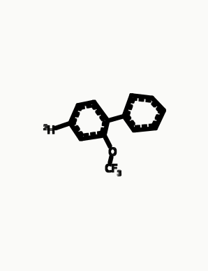 [2H]c1ccc(-c2ccccc2)c(OC(F)(F)F)c1